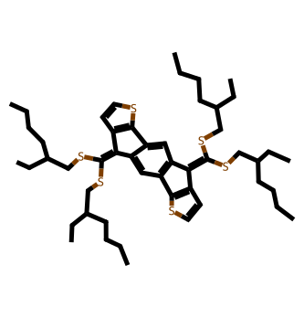 CCCCC(CC)CSC(SCC(CC)CCCC)=C1c2cc3c(cc2-c2sccc21)C(=C(SCC(CC)CCCC)SCC(CC)CCCC)c1ccsc1-3